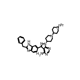 CCCN1CCC(N2CCC(n3nc(-c4ccc5nc(Cc6ccccc6)[nH]c5c4)c4c(N)ncnc43)CC2)CC1